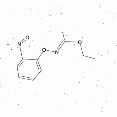 CCO/C(C)=N/Oc1ccccc1N=O